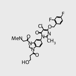 CNCC(=O)N1CN(C(=O)CCO)c2ccc(-n3c(C)nc(OCc4ccc(F)cc4F)c(Cl)c3=O)cc21